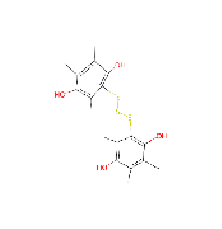 Cc1c(C)c(O)c(SSSc2c(C)c(O)c(C)c(C)c2O)c(C)c1O